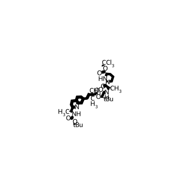 C[C@H](NC(=O)[C@@H](OC(=O)C(C)(C)/C=C/c1ccc2ccc([C@@H](C)NC(=O)OC(C)(C)C)nc2c1)C(C)(C)C)C(=O)N1CCC[C@@H](C(=O)OCC(Cl)(Cl)Cl)N1